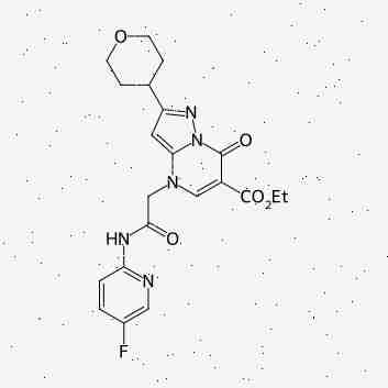 CCOC(=O)c1cn(CC(=O)Nc2ccc(F)cn2)c2cc(C3CCOCC3)nn2c1=O